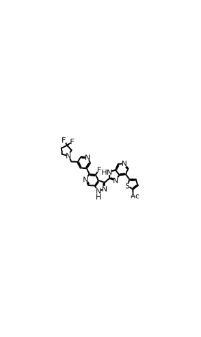 CC(=O)c1ccc(-c2cncc3[nH]c(-c4n[nH]c5cnc(-c6cncc(CN7CCC(F)(F)C7)c6)c(F)c45)nc23)s1